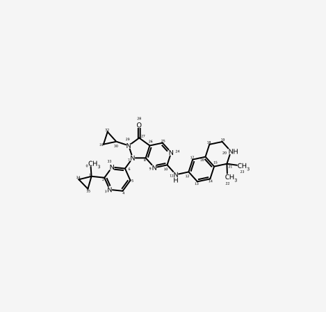 CC1(c2nccc(-n3c4nc(Nc5ccc6c(c5)CCNC6(C)C)ncc4c(=O)n3C3CC3)n2)CC1